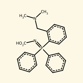 CN(C)Cc1ccccc1P(=NC(=O)O)(c1ccccc1)c1ccccc1